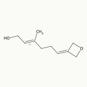 C/C(=C\CO)CCC=C1COC1